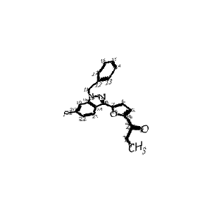 CCC(=O)c1ccc(-c2nn(Cc3ccccc3)c3cc(F)ccc23)o1